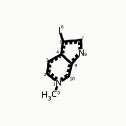 Cn1ccc2c(I)cnc-2c1